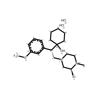 CC[C@H]1CN(C[C@H](c2cccc(OC(F)(F)F)c2)C2(O)CCCCC2)CCN1C.Cl.Cl